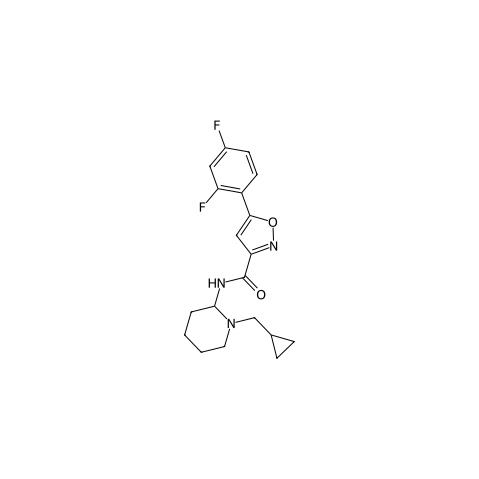 O=C(NC1CCCCN1CC1CC1)c1cc(-c2ccc(F)cc2F)on1